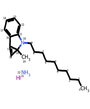 CCCCCCCCCCN1c2ccccc2C2=CC21C.I.N